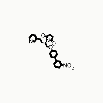 O=C1CCC(=O)N1[C@H](CCc1cccnc1)COc1ccc(-c2cccc([N+](=O)[O-])c2)cc1